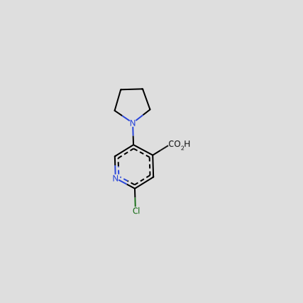 O=C(O)c1cc(Cl)ncc1N1CCCC1